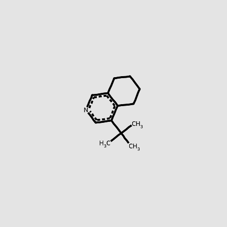 CC(C)(C)c1cncc2c1CCCC2